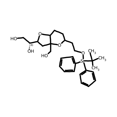 CC(C)(C)[Si](OCCC1CCC2OC([C@H](O)CO)CC2(CO)O1)(c1ccccc1)c1ccccc1